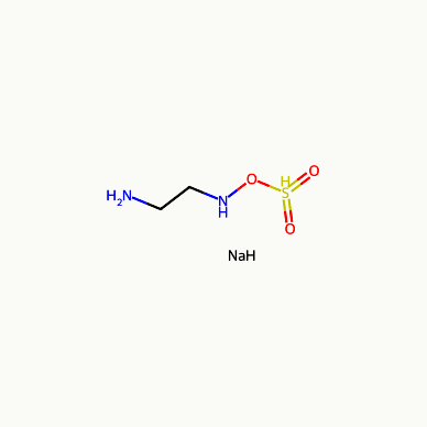 NCCNO[SH](=O)=O.[NaH]